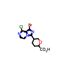 O=C(O)C1CCC(c2nc(Br)c3c(Cl)nccn23)CO1